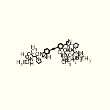 COCCOc1c(C#Cc2ccc3nc([C@@H]4CCCN4C(=O)[C@@H](NC(=O)OC)C(C)C)[nH]c3c2)ccc(-c2cnc([C@@H]3CCCN3C(=O)[C@@H](NC(=O)OC)C(C)C)[nH]2)c1OCCOC